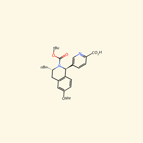 CCCC[C@H]1Cc2cc(OC)ccc2[C@H](c2ccc(C(=O)O)nc2)N1C(=O)OC(C)(C)C